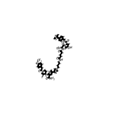 Cc1ncsc1-c1ccc(CNC(=O)[C@@H]2C[C@@H](O)CN2C(=O)[C@@H](NC(=O)CCCC(=O)NCCCCn2cnc(-c3cnc(O[C@@H]4CCN(C(=O)Cc5ccc(OC(F)(F)F)cc5)C[C@H]4F)c(C(N)=O)c3)c2)C(C)(C)C)cc1